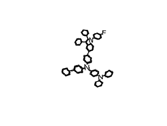 Fc1ccc(-n2c(-c3ccccc3)c(-c3ccccc3)c3cc(-c4ccc(N(c5ccc(-c6ccccc6)cc5)c5ccc(N(c6ccccc6)c6ccccc6)cc5)cc4)ccc32)cc1